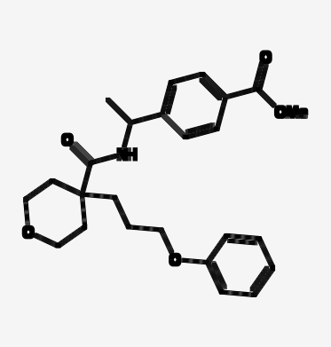 COC(=O)c1ccc(C(C)NC(=O)C2(CCCOc3ccccc3)CCOCC2)cc1